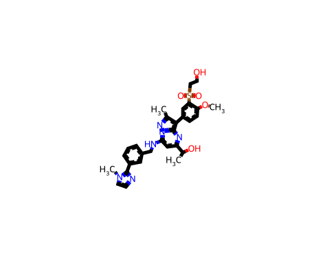 COc1ccc(-c2c(C)nn3c(NCc4cccc(-c5nccn5C)c4)cc(C(C)O)nc23)cc1S(=O)(=O)CCO